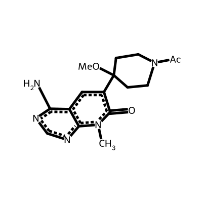 COC1(c2cc3c(N)ncnc3n(C)c2=O)CCN(C(C)=O)CC1